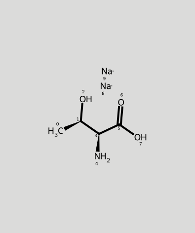 C[C@@H](O)[C@H](N)C(=O)O.[Na].[Na]